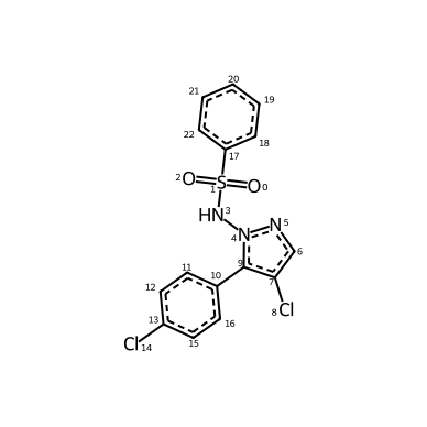 O=S(=O)(Nn1ncc(Cl)c1-c1ccc(Cl)cc1)c1ccccc1